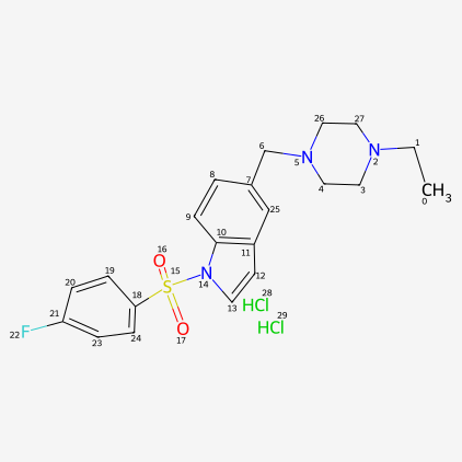 CCN1CCN(Cc2ccc3c(ccn3S(=O)(=O)c3ccc(F)cc3)c2)CC1.Cl.Cl